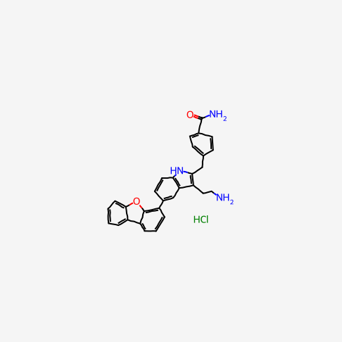 Cl.NCCc1c(Cc2ccc(C(N)=O)cc2)[nH]c2ccc(-c3cccc4c3oc3ccccc34)cc12